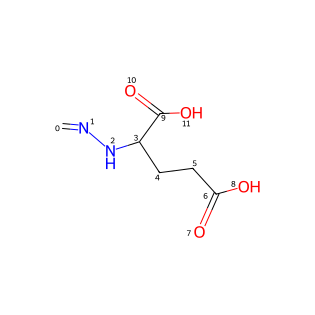 C=NNC(CCC(=O)O)C(=O)O